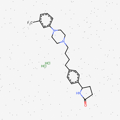 Cl.Cl.O=C1CCC(c2ccc(CCCCN3CCN(c4cccc(C(F)(F)F)c4)CC3)cc2)N1